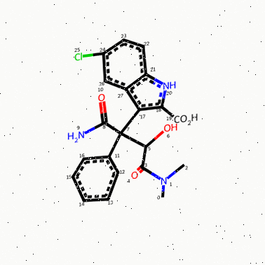 CN(C)C(=O)C(O)C(C(N)=O)(c1ccccc1)c1c(C(=O)O)[nH]c2ccc(Cl)cc12